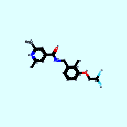 CC(=O)Nc1cc(C(=O)NCc2cccc(OCC(F)F)c2C)cc(C)n1